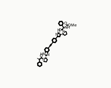 COC(=O)N[C@@H](C(=O)N1CCC[C@H]1c1cc(-c2ccc(C#Cc3ccc4[nH]c([C@@H]5CCCN5C(=O)[C@H](C)c5ccccc5)nc4c3)cc2)n[nH]1)c1ccccc1